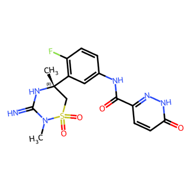 CN1C(=N)N[C@](C)(c2cc(NC(=O)c3ccc(=O)[nH]n3)ccc2F)CS1(=O)=O